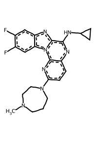 CN1CCCN(c2ccc3nc(NC4CC4)c4nc5cc(F)c(F)cc5n4c3n2)CC1